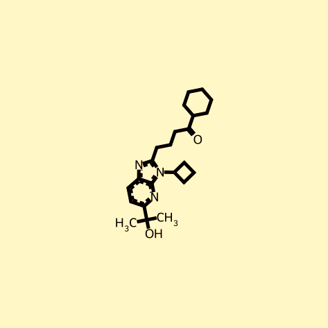 CC(C)(O)c1ccc2nc(CCCC(=O)C3CCCCC3)n(C3CCC3)c2n1